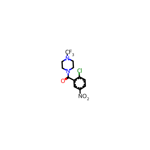 O=C(c1cc([N+](=O)[O-])ccc1Cl)N1CCN(C(F)(F)F)CC1